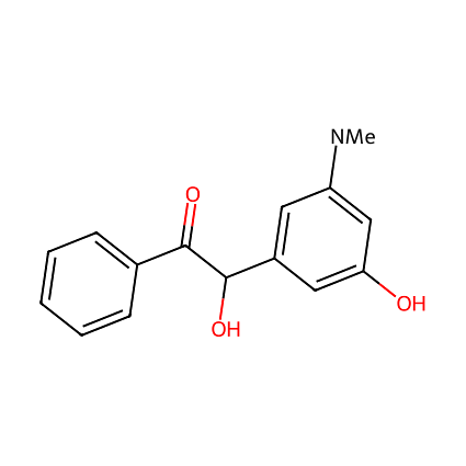 CNc1cc(O)cc(C(O)C(=O)c2ccccc2)c1